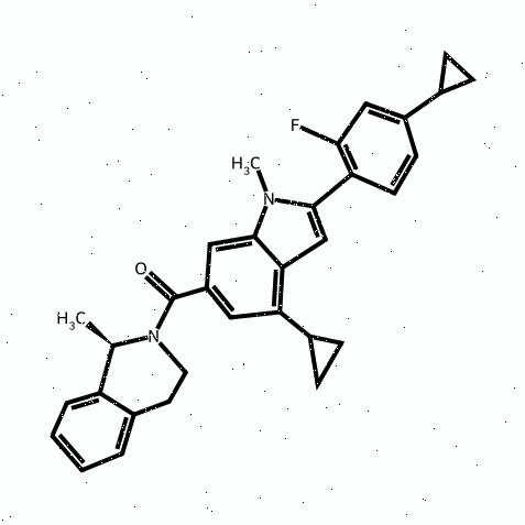 C[C@@H]1c2ccccc2CCN1C(=O)c1cc(C2CC2)c2cc(-c3ccc(C4CC4)cc3F)n(C)c2c1